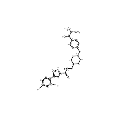 CN(C)C(=O)c1ccc(CN2CCC(CNC(=O)c3cc(-c4ccc(F)cc4F)on3)CC2)cc1